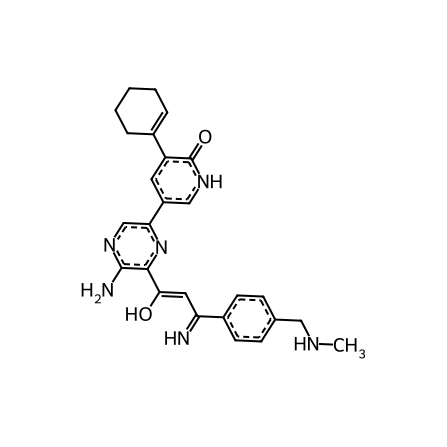 CNCc1ccc(C(=N)/C=C(\O)c2nc(-c3c[nH]c(=O)c(C4=CCCCC4)c3)cnc2N)cc1